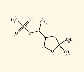 CC(OS(C)(=O)=O)C1COC(C)(C)O1